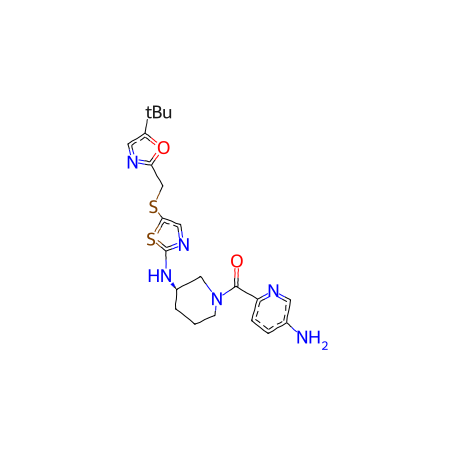 CC(C)(C)c1cnc(CSc2cnc(N[C@@H]3CCCN(C(=O)c4ccc(N)cn4)C3)s2)o1